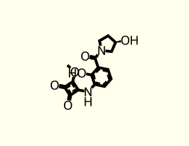 COc1c(Nc2cccc(C(=O)N3CC[C@@H](O)C3)c2O)c(=O)c1=O